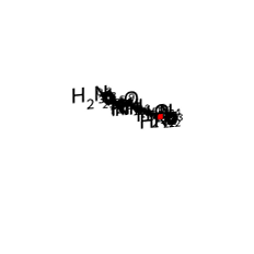 Nc1ccc(-c2cc(C(=O)NCCCCCCC(=O)Nc3ccccc3N)[nH]n2)cc1